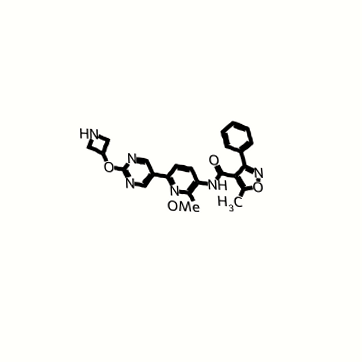 COc1nc(-c2cnc(OC3CNC3)nc2)ccc1NC(=O)c1c(-c2ccccc2)noc1C